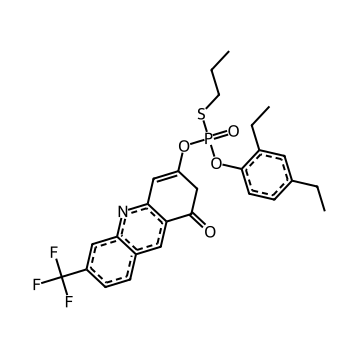 CCCSP(=O)(OC1=Cc2nc3cc(C(F)(F)F)ccc3cc2C(=O)C1)Oc1ccc(CC)cc1CC